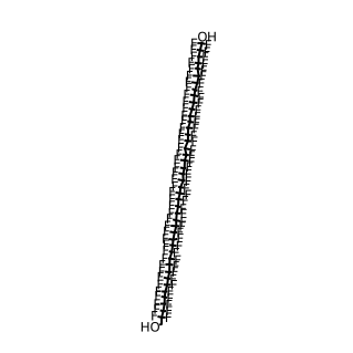 OCC(F)(F)C(F)(F)C(F)(F)C(F)(F)C(F)(F)C(F)(F)C(F)(F)C(F)(F)C(F)(F)C(F)(F)C(F)(F)C(F)(F)C(F)(F)C(F)(F)C(F)(F)C(F)(F)C(F)(F)C(F)(F)C(F)(F)C(F)(F)C(F)(F)C(F)(F)C(F)(F)C(F)(F)C(F)(F)C(F)(F)C(F)(F)C(F)(F)C(F)(F)C(F)(F)C(F)(F)C(F)(F)C(F)(F)C(F)(F)C(F)(F)C(F)(F)C(F)(F)C(F)(F)C(F)(F)C(F)(F)C(F)(F)C(F)(F)C(O)(F)F